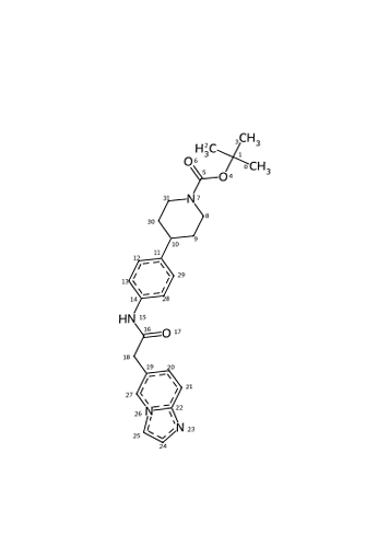 CC(C)(C)OC(=O)N1CCC(c2ccc(NC(=O)Cc3ccc4nccn4c3)cc2)CC1